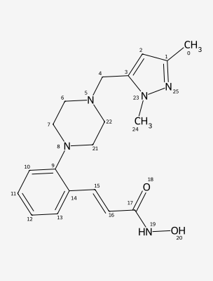 Cc1cc(CN2CCN(c3ccccc3/C=C/C(=O)NO)CC2)n(C)n1